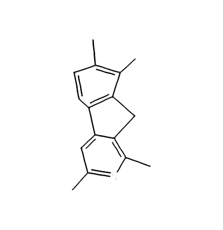 Cc1cc2c(c(C)n1)Cc1c-2ccc(C)c1C